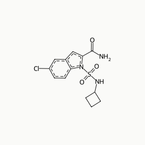 NC(=O)c1cc2cc(Cl)ccc2n1S(=O)(=O)NC1CCC1